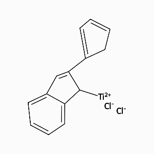 [Cl-].[Cl-].[Ti+2][CH]1C(C2=CC=CC2)=Cc2ccccc21